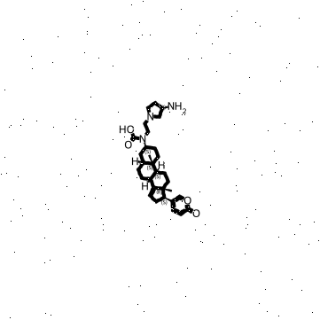 C[C@]12CC[C@H](N(CCN3CC[C@@H](N)C3)C(=O)O)C[C@H]1CC[C@H]1C3=CC[C@H](c4ccc(=O)oc4)[C@@]3(C)CC[C@@H]12